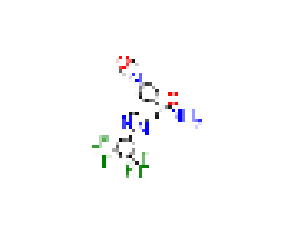 NC(=O)/C(=C/c1ccnc(-c2cc(C(F)(F)F)cc(C(F)(F)F)c2)n1)c1ccc(N2CCOCC2)cc1